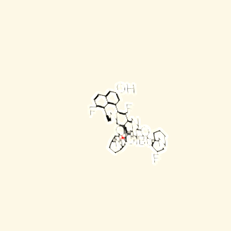 C#Cc1c(F)ccc2cc(O)cc(-c3ncc4c(N5CC6CCC(C5)N6C(O)OCC(C)C)nc(OC[C@@]56CCCN5C[C@H](F)C6)nc4c3F)c12